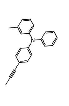 CC#Cc1ccc(N(c2ccccc2)c2cccc(C)c2)cc1